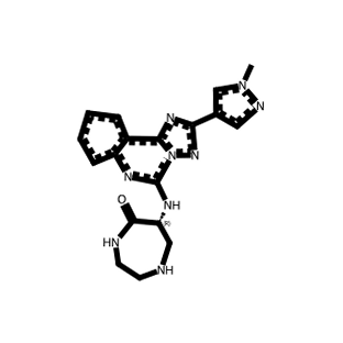 Cn1cc(-c2nc3c4ccccc4nc(N[C@@H]4CNCCNC4=O)n3n2)cn1